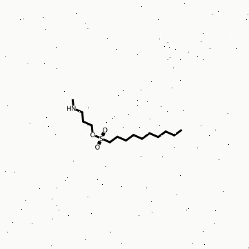 CCCCCCCCCCS(=O)(=O)OCCCNC